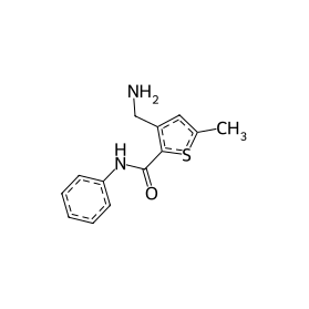 Cc1cc(CN)c(C(=O)Nc2ccccc2)s1